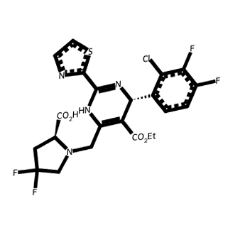 CCOC(=O)C1=C(CN2CC(F)(F)C[C@H]2C(=O)O)NC(c2nccs2)=N[C@@H]1c1ccc(F)c(F)c1Cl